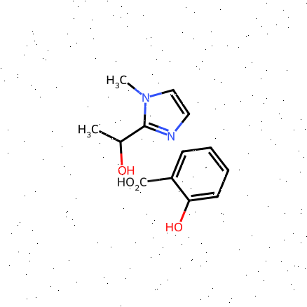 CC(O)c1nccn1C.O=C(O)c1ccccc1O